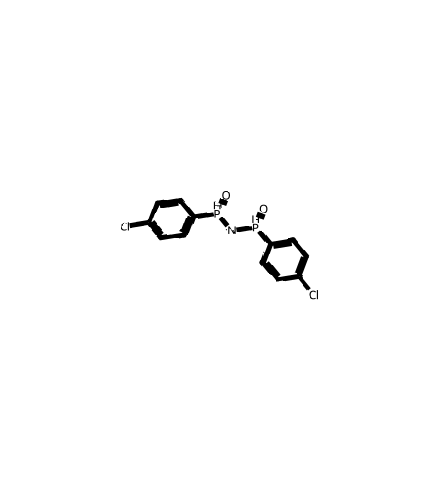 O=[PH]([N][PH](=O)c1ccc(Cl)cc1)c1ccc(Cl)cc1